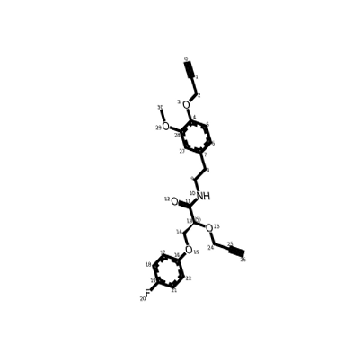 C#CCOc1ccc(CCNC(=O)[C@H](COc2ccc(F)cc2)OCC#C)cc1OC